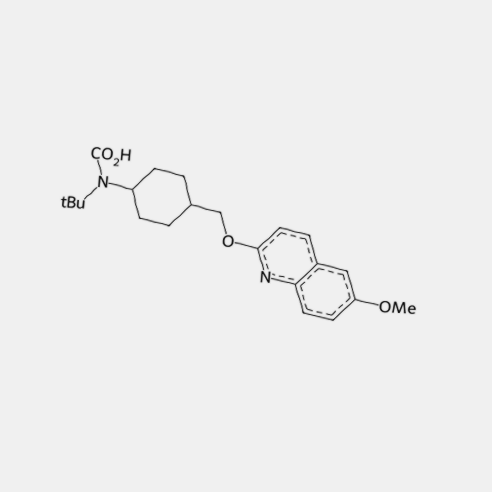 COc1ccc2nc(OCC3CCC(N(C(=O)O)C(C)(C)C)CC3)ccc2c1